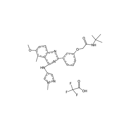 COc1ccc2nc(-c3cccc(OCC(=O)NC(C)(C)C)c3)nc(Nc3cnn(C)c3)c2c1C.O=C(O)C(F)(F)F